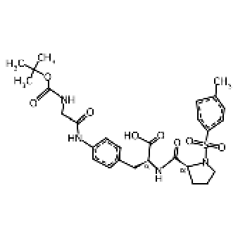 Cc1ccc(S(=O)(=O)N2CCC[C@H]2C(=O)N[C@@H](Cc2ccc(NC(=O)CNC(=O)OC(C)(C)C)cc2)C(=O)O)cc1